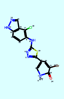 CC(C)n1cc(-c2nnc(Nc3ccc4[nH]ncc4c3Cl)s2)cc(Br)c1=O